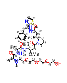 CC[C@H](C)[C@@H]([C@@H](CC(=O)N1CCC[C@H]1[C@H](OC)[C@@H](C)C(=O)N[C@@H](Cc1ccccc1)c1nccs1)OC)N(C)C(=O)[C@@H](NC(=O)[C@H](C(C)C)N(C)CCOCCOCCOCCO)C(C)C